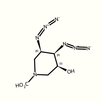 [N-]=[N+]=N[C@H]1[C@@H](O)CN(C(=O)O)C[C@H]1N=[N+]=[N-]